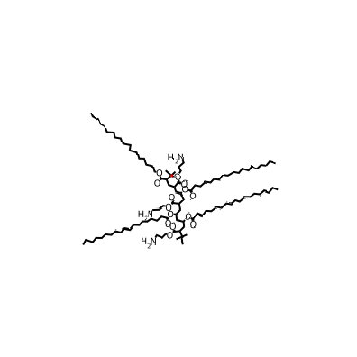 CCCCCCCCCCCCCCCCCCOC(=O)C(CC(CC(CC(CC(CC(CC(C(=O)OCCCN)C(C)(C)C)OC(=O)CCCCCCCCCCCCCCCCCC)OC(=O)CCCCCCCCCCCCCCCCCC)C(=O)OCCCN)OC(=O)CCCCCCCCCCCCCCCCCC)C(=O)OCCCN)C(C)(C)C